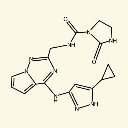 O=C1NCCN1C(=O)NCc1nc(Nc2cc(C3CC3)[nH]n2)c2cccn2n1